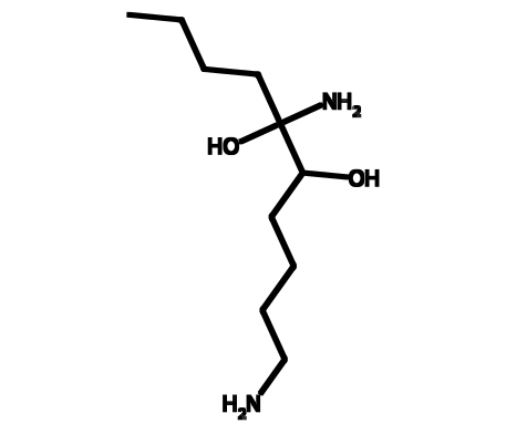 CCCCC(N)(O)C(O)CCCCN